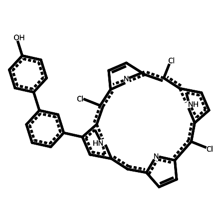 Oc1ccc(-c2cccc(-c3cc4cc5nc(c(Cl)c6ccc([nH]6)c(Cl)c6nc(c(Cl)c3[nH]4)C=C6)C=C5)c2)cc1